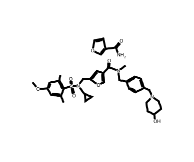 COc1cc(C)c(S(=O)(=O)N(Cc2cc(C(=O)N(C)Cc3ccc(CN4CCC(O)CC4)cc3)co2)C2CC2)c(C)c1.NC(=O)c1ccoc1